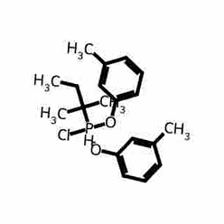 CCC(C)(C)[PH](Cl)(Oc1cccc(C)c1)Oc1cccc(C)c1